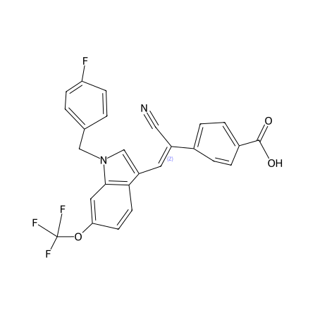 N#C/C(=C\c1cn(Cc2ccc(F)cc2)c2cc(OC(F)(F)F)ccc12)c1ccc(C(=O)O)cc1